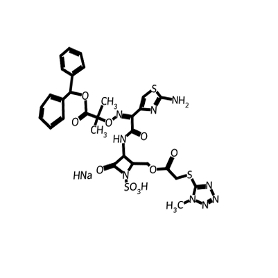 Cn1nnnc1SCC(=O)OCC1C(NC(=O)/C(=N\OC(C)(C)C(=O)OC(c2ccccc2)c2ccccc2)c2csc(N)n2)C(=O)N1S(=O)(=O)O.[NaH]